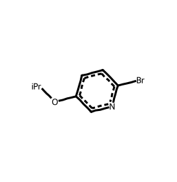 CC(C)Oc1ccc(Br)nc1